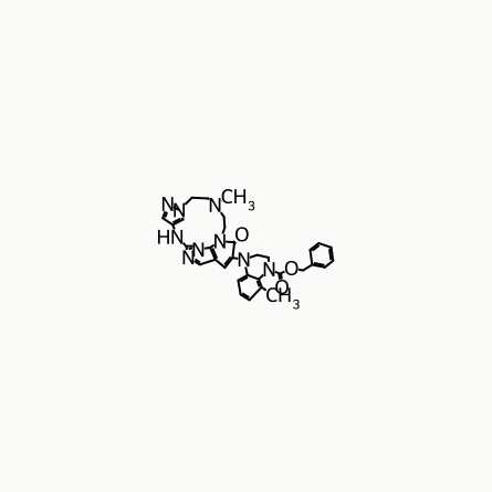 Cc1cccc2c1N(C(=O)OCc1ccccc1)CCN2c1cc2cnc3nc2n(c1=O)CCN(C)CCn1cc(cn1)N3